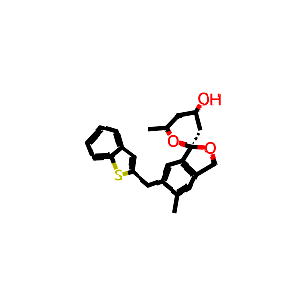 Cc1cc2c(cc1Cc1cc3ccccc3s1)[C@]1(CC(O)CC(C)O1)OC2